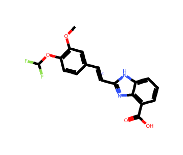 COc1cc(/C=C/c2nc3c(C(=O)O)cccc3[nH]2)ccc1OC(F)F